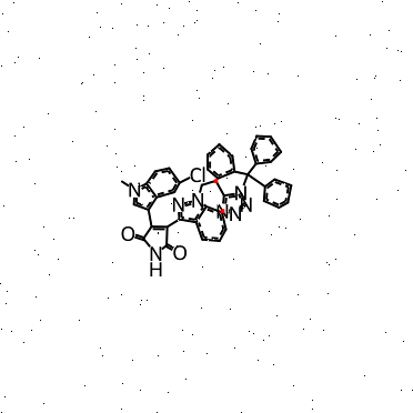 Cn1cc(C2=C(c3nn(CCc4nnnn4C(c4ccccc4)(c4ccccc4)c4ccccc4)c4ccccc34)C(=O)NC2=O)c2cc(Cl)ccc21